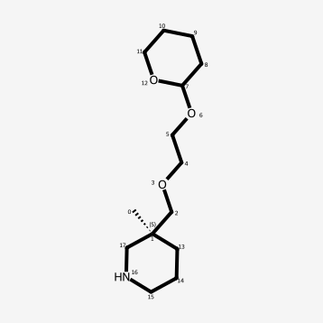 C[C@]1(COCCOC2CCCCO2)CCCNC1